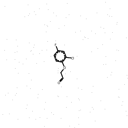 O=CCOc1ccc(F)cc1Cl